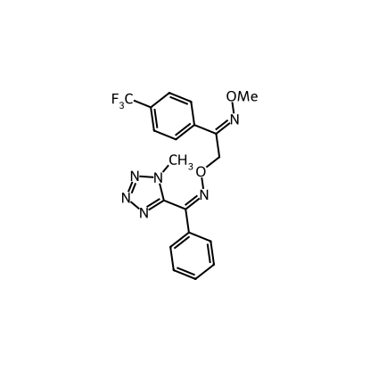 CO/N=C(/CO/N=C(/c1ccccc1)c1nnnn1C)c1ccc(C(F)(F)F)cc1